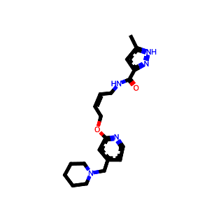 Cc1cc(C(=O)NC/C=C\COc2cc(CN3CCCCC3)ccn2)n[nH]1